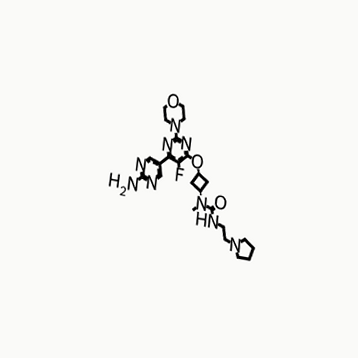 CN(C(=O)NCCN1CCCC1)[C@H]1C[C@H](Oc2nc(N3CCOCC3)nc(-c3cnc(N)nc3)c2F)C1